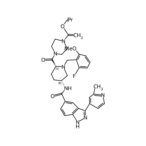 C=C(OC(C)C)N1CCN(C(=O)[C@@H]2CC[C@@H](NC(=O)c3ccc4[nH]nc(-c5ccnc(C)c5)c4c3)CN2Cc2c(F)cccc2OC)CC1